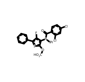 CC(C)N(C(=O)c1ccc(Cl)cc1Cl)c1c(OC(=O)O)sc(-c2ccccc2)c1F